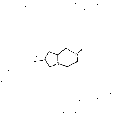 CN1CCN2CN(C)CC2C1